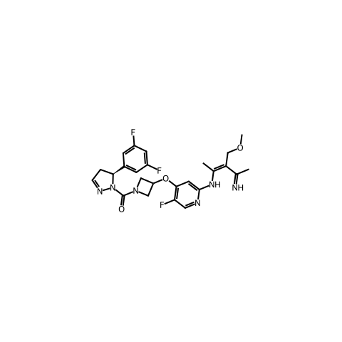 COC/C(C(C)=N)=C(\C)Nc1cc(OC2CN(C(=O)N3N=CC[C@H]3c3cc(F)cc(F)c3)C2)c(F)cn1